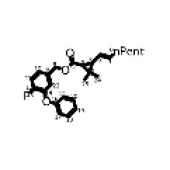 CCCCCC=CC1C(C(=O)OCc2ccc(F)c(Oc3ccccc3)c2)C1(C)C